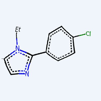 CCn1[c]cnc1-c1ccc(Cl)cc1